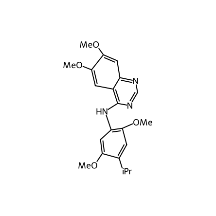 COc1cc(C(C)C)c(OC)cc1Nc1ncnc2cc(OC)c(OC)cc12